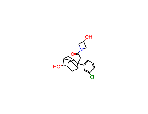 O=C(CC1(c2cccc(Cl)c2)C2CC3CC1CC(C2)C3O)N1CC(O)C1